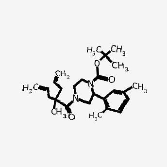 C=CCC(C)(CC=C)C(=O)N1CCN(C(=O)OC(C)(C)C)C(c2cc(C)ccc2C)C1